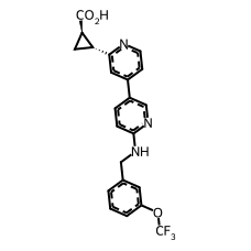 O=C(O)[C@@H]1C[C@H]1c1cc(-c2ccc(NCc3cccc(OC(F)(F)F)c3)nc2)ccn1